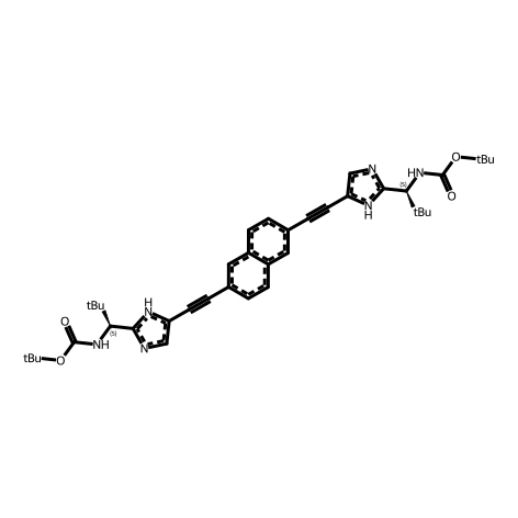 CC(C)(C)OC(=O)N[C@H](c1ncc(C#Cc2ccc3cc(C#Cc4cnc([C@@H](NC(=O)OC(C)(C)C)C(C)(C)C)[nH]4)ccc3c2)[nH]1)C(C)(C)C